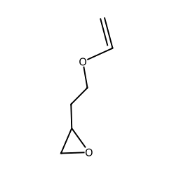 C=COCCC1CO1